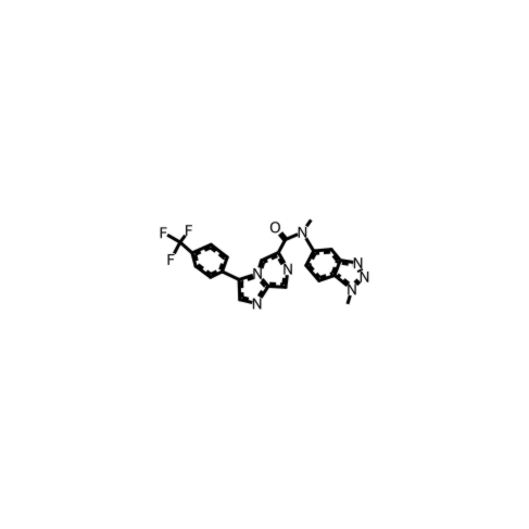 CN(C(=O)c1cn2c(-c3ccc(C(F)(F)F)cc3)cnc2cn1)c1ccc2c(c1)nnn2C